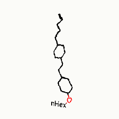 C=CCCCC1CCC(CCC2CCC(OCCCCCC)CC2)CC1